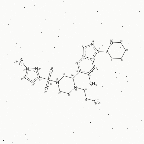 Cc1cc2c(cnn2C2CCCCO2)cc1C1CN(S(=O)(=O)c2cnn(C)n2)CCN1CCC(F)(F)F